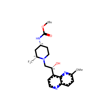 COc1ccc2nccc([C@@H](O)CN3CC[C@@H](NC(=O)OC(C)(C)C)C[C@H]3C(F)(F)F)c2n1